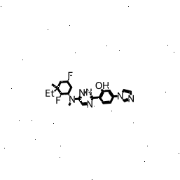 CC[C@@]1(C)C[C@H](F)C[C@@H](N(C)c2cnc(-c3ccc(-n4ccnc4)cc3O)nn2)[C@@H]1F